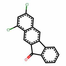 O=C1c2ccccc2-c2cc3cc(Cl)cc(Cl)c3cc21